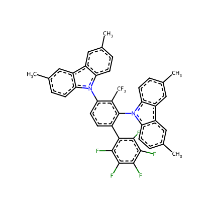 Cc1ccc2c(c1)c1cc(C)ccc1n2-c1ccc(-c2c(F)c(F)c(F)c(F)c2F)c(-n2c3ccc(C)cc3c3cc(C)ccc32)c1C(F)(F)F